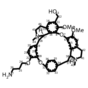 COc1cc2c3cc1Oc1c(OC)c(CO)cc4c1[C@@H](Cc1ccc(OCCCN)c(c1)Oc1ccc(cc1)C[C@@H]3N(C)CC2)N(C)CC4